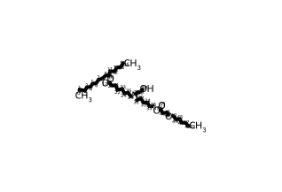 CCCCCCCCC(CCCCCCCC)OC(=O)CCCCCCCN(CCO)CCCCCCOC(=O)CCOCCCCCCC